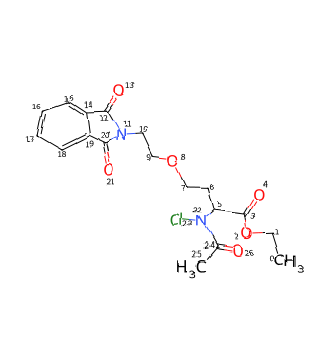 CCOC(=O)C(CCOCCN1C(=O)c2ccccc2C1=O)N(Cl)C(C)=O